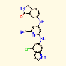 N#Cc1cc(Nc2ccc3c(c2)C(=O)NC3)cc(Nc2cc(Cl)c3cc[nH]c3c2)n1